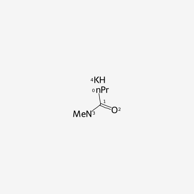 CCCC(=O)NC.[KH]